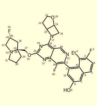 CCc1c(F)ccc2cc(O)cc(-c3ncc4c(N5CC6OCCC65)nc(OC[C@@]56CCCN5C[C@H](F)C6)nc4c3F)c12